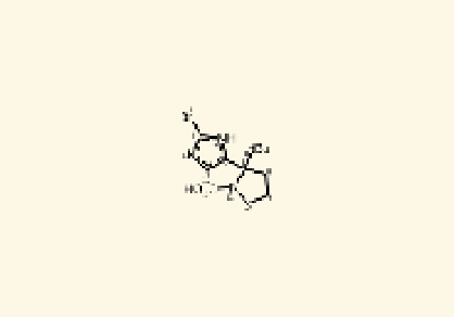 CC(C)(C)C1(c2cnc(Br)[nH]2)CCCN1C(=O)O